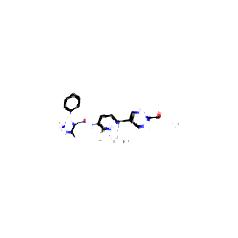 COC(=O)c1ncc(-c2ccc(NC(=O)c3c(C)nnn3-c3ccccc3)c(OC)n2)cn1